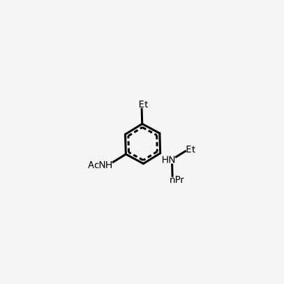 CCCNCC.CCc1cccc(NC(C)=O)c1